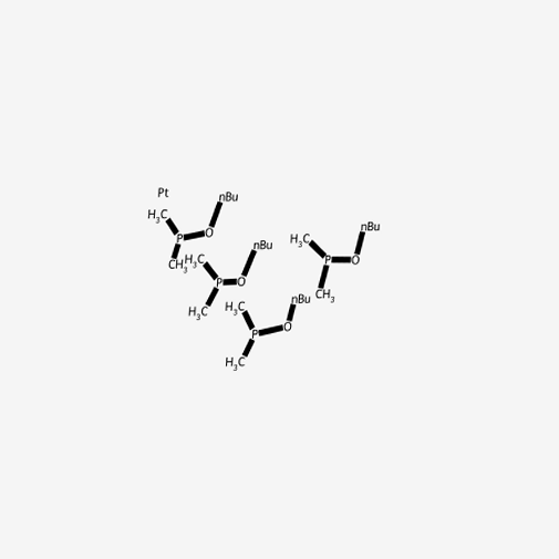 CCCCOP(C)C.CCCCOP(C)C.CCCCOP(C)C.CCCCOP(C)C.[Pt]